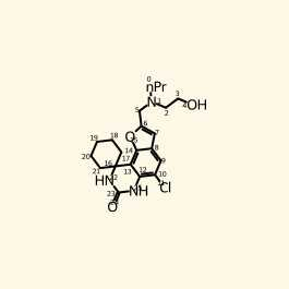 CCCN(CCO)Cc1cc2cc(Cl)c3c(c2o1)C1(CCCCC1)NC(=O)N3